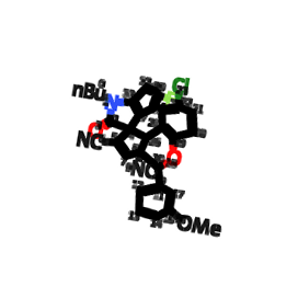 CCCCN1C(=O)C2(C(C#N)=CC3([N+](=O)[O-])C(c4cccc(OC)c4)Oc4ccc(Cl)cc4C23)c2cc(F)ccc21